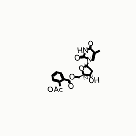 CC(=O)Oc1ccccc1C(=O)OC[C@H]1O[C@@H](n2cc(C)c(=O)[nH]c2=O)C[C@@H]1O